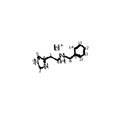 C1=NCN=C1CCNCc1ccccc1.[H+]